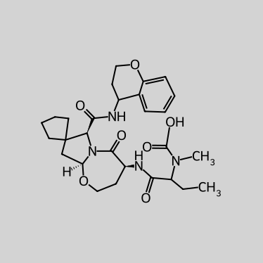 CCC(C(=O)N[C@H]1CCO[C@H]2CC3(CCCC3)[C@@H](C(=O)NC3CCOc4ccccc43)N2C1=O)N(C)C(=O)O